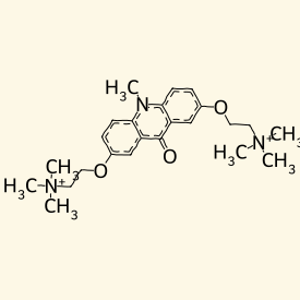 Cn1c2ccc(OCC[N+](C)(C)C)cc2c(=O)c2cc(OCC[N+](C)(C)C)ccc21